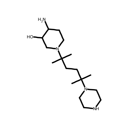 CC(C)(CCC(C)(C)N1CCC(N)C(O)C1)N1CCNCC1